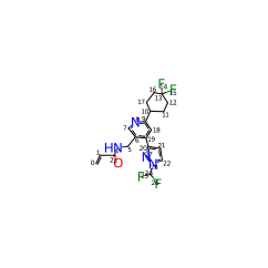 C=CC(=O)NCc1cnc(C2CCC(F)(F)CC2)cc1-c1ccn(C(F)F)n1